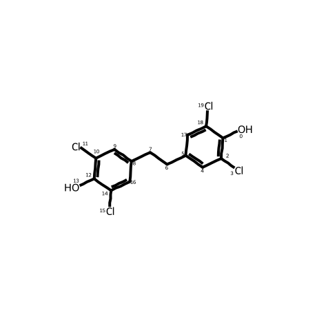 Oc1c(Cl)cc(CCc2cc(Cl)c(O)c(Cl)c2)cc1Cl